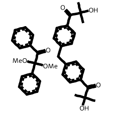 CC(C)(O)C(=O)c1ccc(Cc2ccc(C(=O)C(C)(C)O)cc2)cc1.COC(OC)(C(=O)c1ccccc1)c1ccccc1